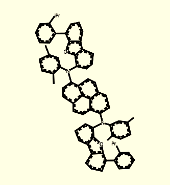 Cc1ccc(C)c(N(c2ccc3ccc4c(N(c5cc(C)ccc5C)c5cccc6c5oc5c(-c7ccccc7C(C)C)cccc56)ccc5ccc2c3c54)c2cccc3c2oc2c(-c4ccccc4C(C)C)cccc23)c1